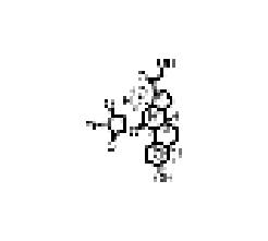 CCN1C(=O)C=CC1=O.C[C@]12CC[C@@H](O)C[C@H]1CC[C@@H]1[C@@H]2C(=O)C[C@@]2(C)[C@H]1CC[C@]2(O)C(=O)CO